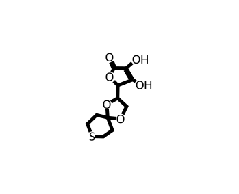 O=C1OC(C2COC3(CCSCC3)O2)C(O)=C1O